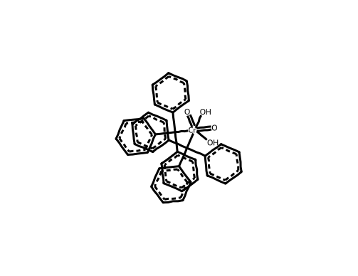 [O]=[Cr](=[O])([OH])([OH])([C](c1ccccc1)(c1ccccc1)c1ccccc1)[C](c1ccccc1)(c1ccccc1)c1ccccc1